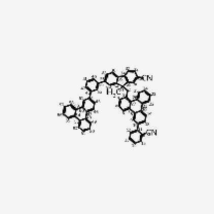 CC1(Cc2cccc3c4cc(-c5ccccc5C#N)ccc4c4ccccc4c23)c2cc(C#N)ccc2-c2ccc(-c3cccc(-c4ccc5c6ccccc6c6ccccc6c5c4)c3)cc21